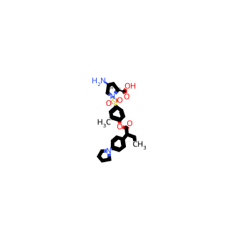 CCC(C(=O)Oc1ccc(S(=O)(=O)N2C[C@@H](N)C[C@H]2C(=O)O)cc1C)c1ccc(N2CCCC2)cc1